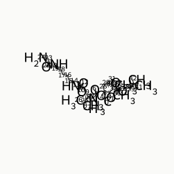 COC1C(OC(=O)N[C@@H](COC(=O)NCCCCCCNC(=O)CN)C(C)C)CC[C@]2(CO2)C1C(C)(C)OCC=C(C)C